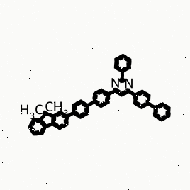 CC1(C)c2ccccc2-c2ccc(-c3ccc(-c4ccc(-c5cc(-c6ccc(-c7ccccc7)cc6)nc(-c6ccccc6)n5)cc4)cc3)cc21